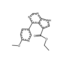 CCOC(=O)c1c[nH]c2ncnc(-c3ccc(OC)nc3)c12